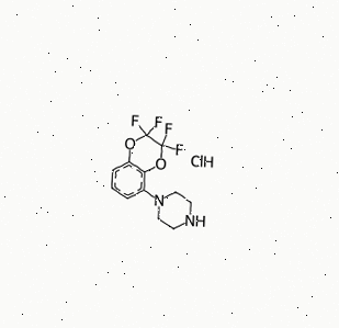 Cl.FC1(F)Oc2cccc(N3CCNCC3)c2OC1(F)F